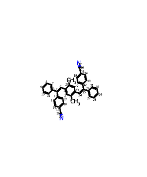 Cc1cc(C=C(c2ccccc2)c2ccc(C#N)cc2)c(C)cc1C=C(c1ccccc1)c1ccc(C#N)cc1